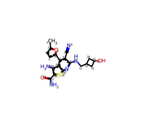 Cc1ccc(-c2c(C#N)c(NCC3CC(O)C3)nc3sc(C(N)=O)c(N)c23)o1